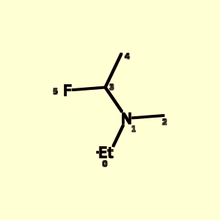 C[CH]N(C)C(C)F